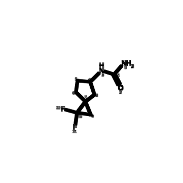 NC(=O)NC1CCC2(C1)CC2(F)F